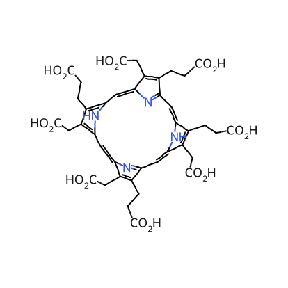 O=C(O)CCC1=C(CC(=O)O)c2cc3[nH]c(cc4nc(cc5[nH]c(cc1n2)c(CCC(=O)O)c5CC(=O)O)C(CCC(=O)O)=C4CC(=O)O)c(CC(=O)O)c3CCC(=O)O